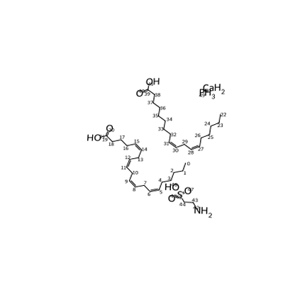 CCCCC/C=C\C/C=C\C/C=C\C/C=C\CCCC(=O)O.CCCCC/C=C\C/C=C\CCCCCCCC(=O)O.NCCS(=O)(=O)O.P.[CaH2]